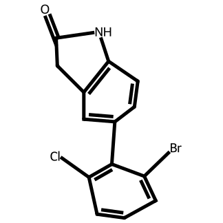 O=C1Cc2cc(-c3c(Cl)cccc3Br)ccc2N1